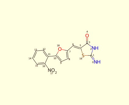 N=C1NC(=O)C(=Cc2ccc(-c3ccccc3[N+](=O)[O-])o2)S1